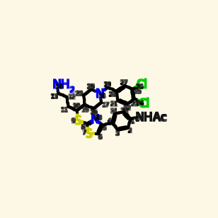 CC(=O)Nc1ccc(-c2csc(SC(CCCN)C3CCN(Cc4ccc(Cl)c(Cl)c4)CC3)n2)cc1